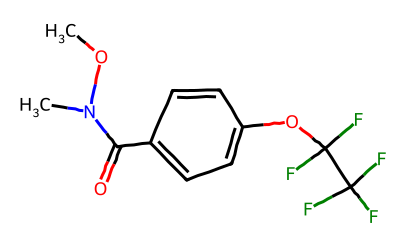 CON(C)C(=O)c1ccc(OC(F)(F)C(F)(F)F)cc1